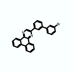 Brc1cccc(-c2cccc(-c3cnc4c5ccccc5c5ccccc5c4n3)c2)c1